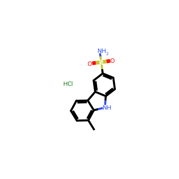 Cc1cccc2c1[nH]c1ccc(S(N)(=O)=O)cc12.Cl